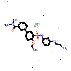 CCOc1ccc(-c2cccc(C(=O)N(C)C)c2)cc1S(=O)(=O)Nc1cccc(NCCN)c1.Cl.Cl